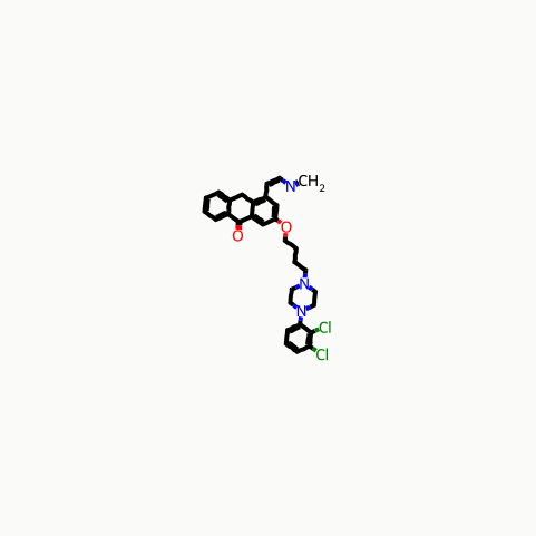 C=N/C=C\c1cc(OCCCCN2CCN(c3cccc(Cl)c3Cl)CC2)cc2c1Cc1ccccc1C2=O